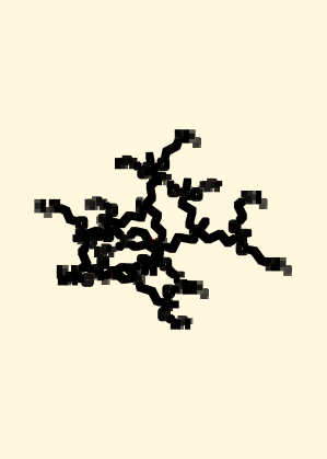 CCCO[Si](C)(CCC[Si](C)(CCC[Si](CCC[Si](C)(CCC[Si](C)(OCCC)OCCC)CCC[Si](C)(OCCC)OCCN)(CCC[Si](C)(CCC[Si](C)(OCCC)OCCC)CCC[Si](C)(OCCN)OCCN)CCC[Si](C)(CCC[Si](C)(OCCN)OCCN)CCC[Si](C)(OCCN)OCCN)CCC[Si](C)(OCCC)OCCC)OCCC